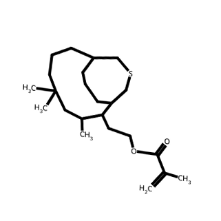 C=C(C)C(=O)OCCC1C(C)CC(C)(C)CCCC2CCCC1CSC2